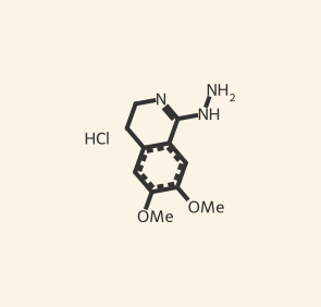 COc1cc2c(cc1OC)C(NN)=NCC2.Cl